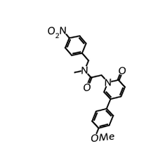 COc1ccc(-c2ccc(=O)n(CC(=O)N(C)Cc3ccc([N+](=O)[O-])cc3)c2)cc1